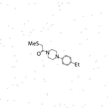 CCc1ccc(N2CCN(C(=O)CSC)CC2)cc1